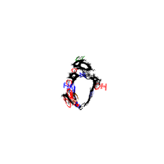 O=C1NS(=O)(=O)N(C[C@@H]2CCO2)CC/C=C/C(O)[C@@H]2CC[C@H]2CN2C[C@@]3(CCCc4cc(Cl)ccc43)COc3ccc1cc32